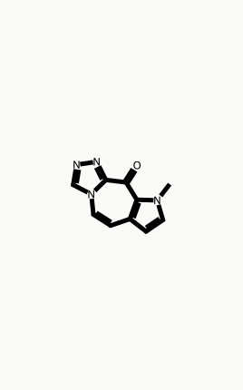 Cn1ccc2ccn3cnnc3c(=O)c21